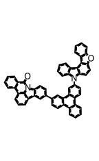 O=c1c2ccccc2c2cccc3c4cc(-c5ccc6c7ccccc7c7ccc(-n8c9ccccc9c9c%10c(ccc98)oc8ccccc8%10)cc7c6c5)ccc4n1c23